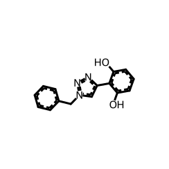 Oc1cccc(O)c1-c1cn(Cc2ccccc2)nn1